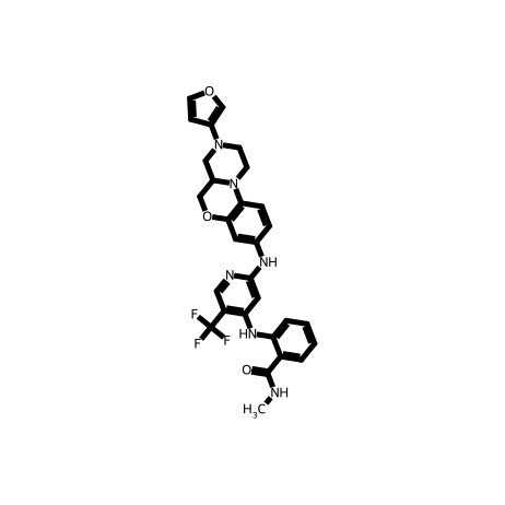 CNC(=O)c1ccccc1Nc1cc(Nc2ccc3c(c2)OCC2CN(c4ccoc4)CCN32)ncc1C(F)(F)F